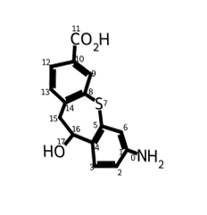 Nc1ccc2c(c1)Sc1cc(C(=O)O)ccc1CC2O